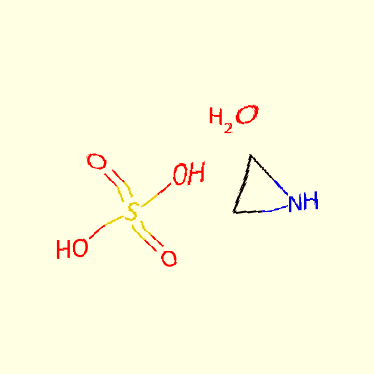 C1CN1.O.O=S(=O)(O)O